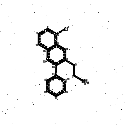 NCCc1cc2c(Cl)cccc2nc1-c1ccccn1